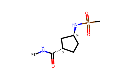 CCNC(=O)[C@H]1CC[C@H](NS(C)(=O)=O)C1